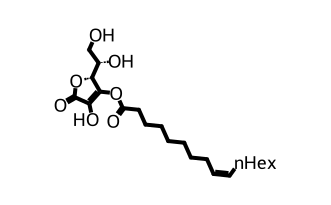 CCCCCC/C=C\CCCCCCCC(=O)OC1=C(O)C(=O)O[C@@H]1[C@@H](O)CO